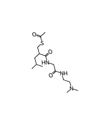 CC(=O)SCC(CC(C)C)C(=O)NCC(=O)NCCN(C)C